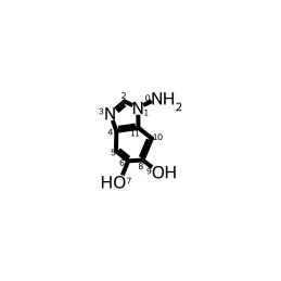 Nn1cnc2cc(O)c(O)cc21